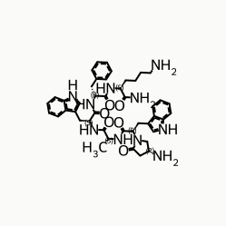 C[C@H](NC(=O)[C@@H](Cc1c[nH]c2ccccc12)N1C[C@H](N)CC1=O)C(=O)N[C@@H](Cc1c[nH]c2ccccc12)C(=O)N[C@H](Cc1ccccc1)C(=O)N[C@@H](CCCCN)C(N)=O